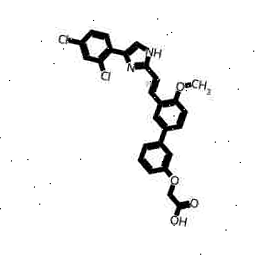 COc1ccc(-c2cccc(OCC(=O)O)c2)cc1/C=C/c1nc(-c2ccc(Cl)cc2Cl)c[nH]1